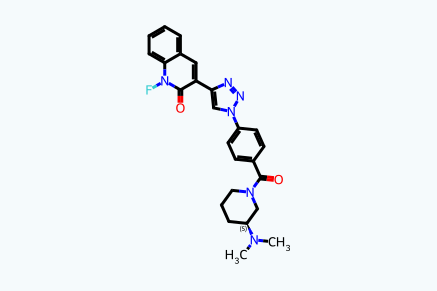 CN(C)[C@H]1CCCN(C(=O)c2ccc(-n3cc(-c4cc5ccccc5n(F)c4=O)nn3)cc2)C1